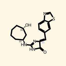 O=C1NC(N[C@H]2CCCC[C@H](O)C2)=N/C1=C\c1ccc2ncsc2c1